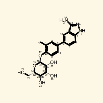 Cc1cc(-c2ccc3[nH]nc(N)c3c2)ccc1O[C@@H]1O[C@@H](CO)[C@H](O)[C@@H](O)[C@H]1O